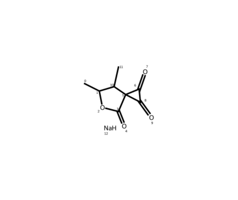 CC1OC(=O)C2(C(=O)C2=O)C1C.[NaH]